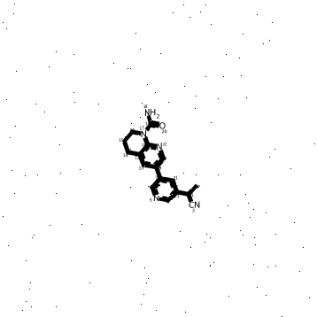 CC(C#N)c1cncc(-c2cnc3c(c2)CCCN3C(N)=O)c1